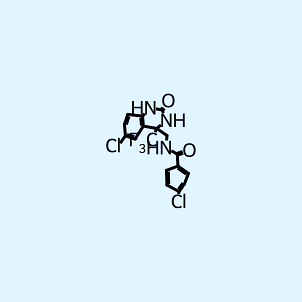 O=C1Nc2ccc(Cl)cc2C(CNC(=O)c2ccc(Cl)cc2)(C(F)(F)F)N1